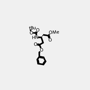 COC(=O)C[C@H](CC(=O)OCc1ccccc1)NC(=O)OC(C)(C)C